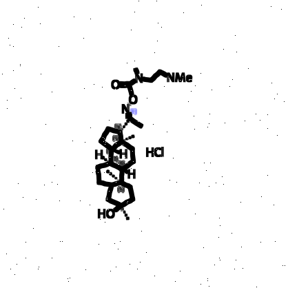 CNCCN(C)C(=O)O/N=C(\C)[C@H]1CC[C@H]2[C@@H]3CCC4C[C@](C)(O)CC[C@]4(C)[C@H]3CC[C@]12C.Cl